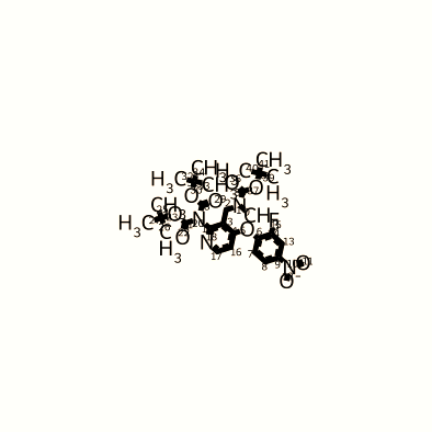 CN(Cc1c(Oc2ccc([N+](=O)[O-])cc2F)ccnc1N(C(=O)OC(C)(C)C)C(=O)OC(C)(C)C)C(=O)OC(C)(C)C